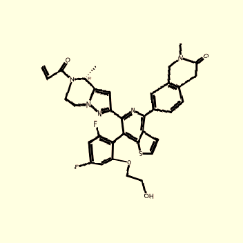 C=CC(=O)N1CCn2nc(-c3nc(-c4ccc5c(c4)CN(C)C(=O)C5)c4ccsc4c3-c3c(F)cc(F)cc3OCCO)cc2[C@H]1C